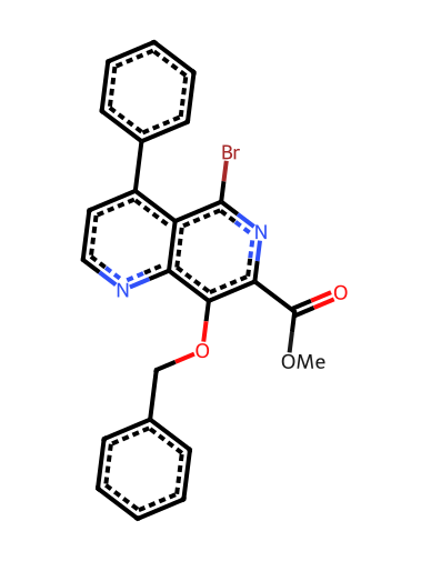 COC(=O)c1nc(Br)c2c(-c3ccccc3)ccnc2c1OCc1ccccc1